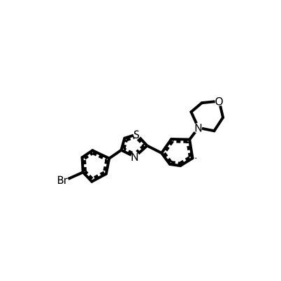 Brc1ccc(-c2csc(-c3cc[c]c(N4CCOCC4)c3)n2)cc1